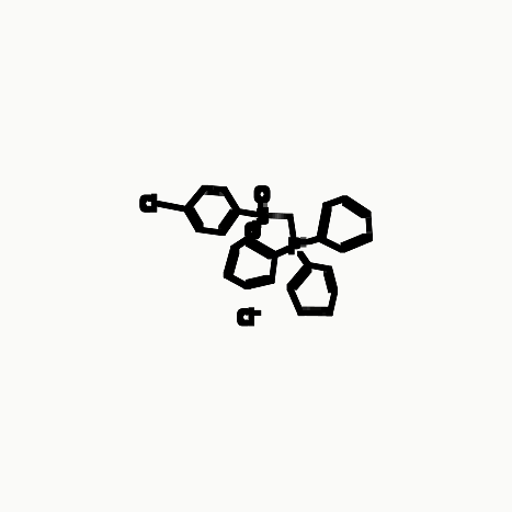 O=S(=O)(C[P+](c1ccccc1)(c1ccccc1)c1ccccc1)c1ccc(Cl)cc1.[Cl-]